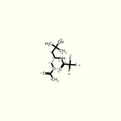 CC(=O)OC[C@H](CC(C)(C)O)NC(=O)C(F)(F)F